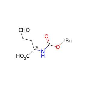 CCCCOC(=O)N[C@@H](CC[C]=O)C(=O)O